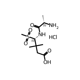 C[C@H](N)C(=O)N[C@H](C(C)(C)CC(=O)O)S(C)(=O)=O.Cl